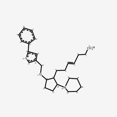 O=C(O)CCC=CCCC1C(OCc2csc(-c3ccccc3)c2)CCC1N1CCCCC1